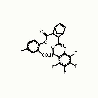 O=C(O)c1cc(I)ccc1OC(=O)C1C2C=CC(C2)C1C(=O)OCc1c(F)c(F)c(F)c(F)c1F